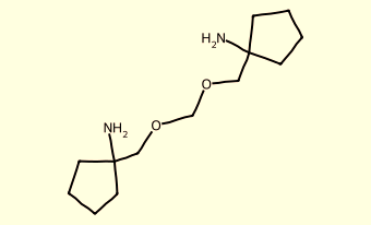 NC1(COCOCC2(N)CCCC2)CCCC1